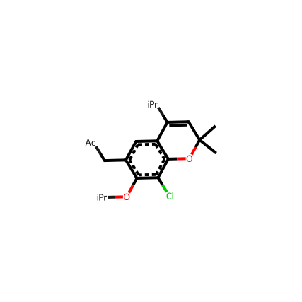 CC(=O)Cc1cc2c(c(Cl)c1OC(C)C)OC(C)(C)C=C2C(C)C